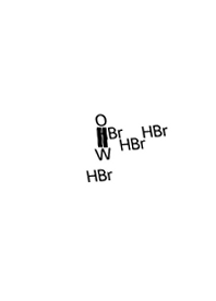 Br.Br.Br.Br.[O]=[W]